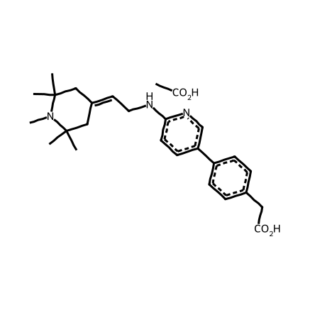 CC(=O)O.CN1C(C)(C)CC(=CCNc2ccc(-c3ccc(CC(=O)O)cc3)cn2)CC1(C)C